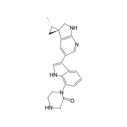 C[C@H]1C[C@]12CNc1ncc(-c3c[nH]c4c(N5CCNCC5=O)cccc34)cc12